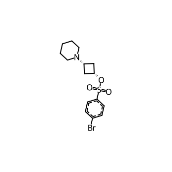 O=S(=O)(O[C@H]1C[C@@H](N2CCCCC2)C1)c1ccc(Br)cc1